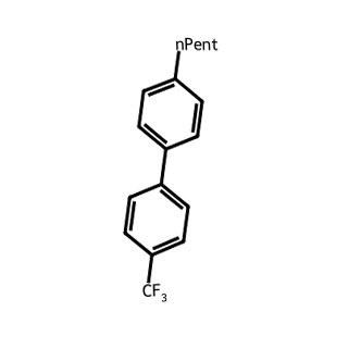 CCCCCc1ccc(-c2ccc(C(F)(F)F)cc2)cc1